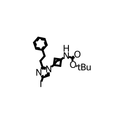 CC(C)(C)OC(=O)NC12CC(n3cc(I)nc3CCc3ccccc3)(C1)C2